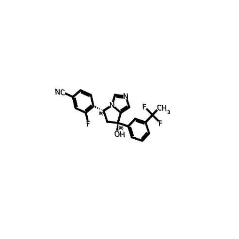 CC(F)(F)c1cccc([C@]2(O)C[C@H](c3ccc(C#N)cc3F)n3cncc32)c1